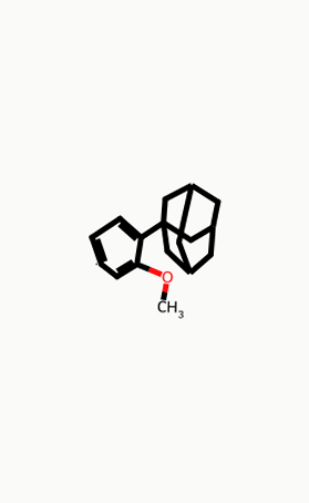 COc1c[c]ccc1C12CC3CC(CC(C3)C1)C2